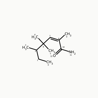 CCC(C)C(C)(C)C=C(C)C(N)=O